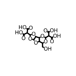 O=C(O)C(C(=O)O)C1OC2OC3C(CO)OC(C(C(=O)O)C(=O)O)OC3C2O1